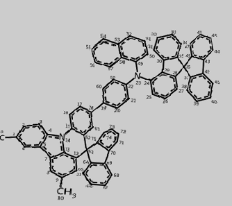 Cc1ccc2c(c1)c1cc(C)cc3c1n2-c1ccc(-c2ccc(N(c4cccc5c4-c4ccccc4C54c5ccccc5-c5ccccc54)c4cccc5ccccc45)cc2)cc1C31c2ccccc2-c2ccccc21